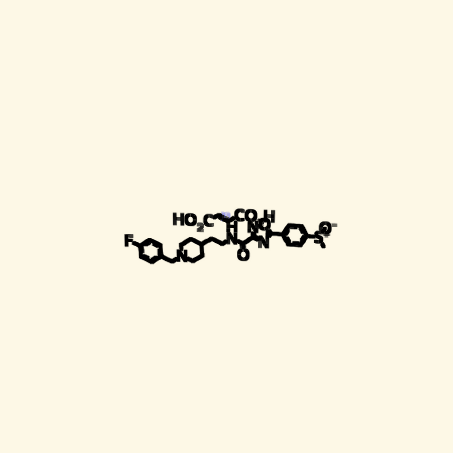 C[S+]([O-])c1ccc(-c2nc(C(=O)NCCC3CCN(Cc4ccc(F)cc4)CC3)no2)cc1.O=C(O)/C=C/C(=O)O